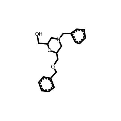 OCC1CN(Cc2ccccc2)CC(COCc2ccccc2)O1